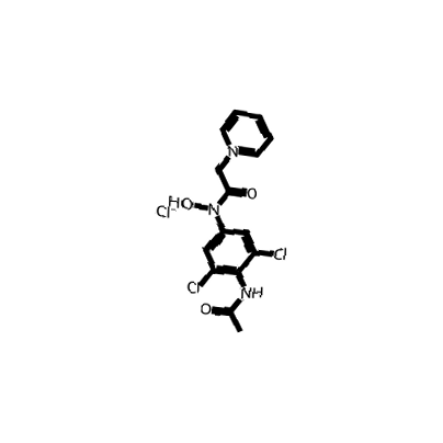 CC(=O)Nc1c(Cl)cc(N(O)C(=O)C[n+]2ccccc2)cc1Cl.[Cl-]